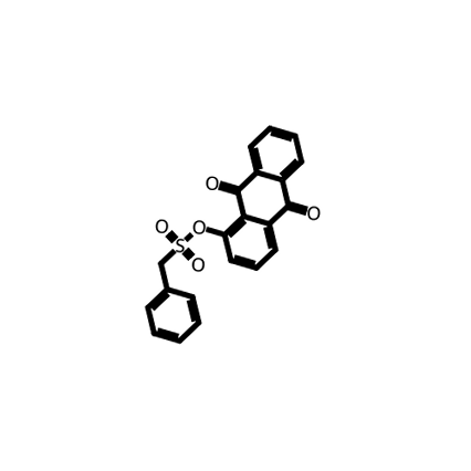 O=C1c2ccccc2C(=O)c2c(OS(=O)(=O)Cc3ccccc3)cccc21